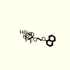 O=C(OCCOc1cccc2ccccc12)C(F)(F)S(=O)(=O)O